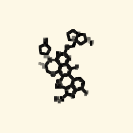 C[C@H]1COc2c(Cl)c(-c3ccc(F)c4sc(N)c(C#N)c34)c(F)c3nc(OC[C@@]45CCCN4C[C@H](F)C5)nc(c23)N1[C@@H]1CCNC1